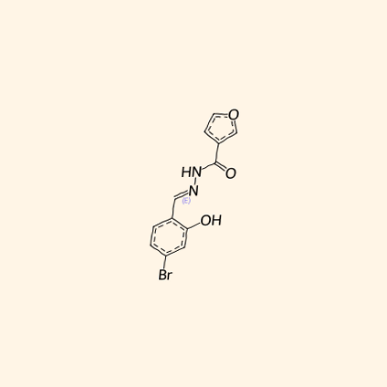 O=C(N/N=C/c1ccc(Br)cc1O)c1ccoc1